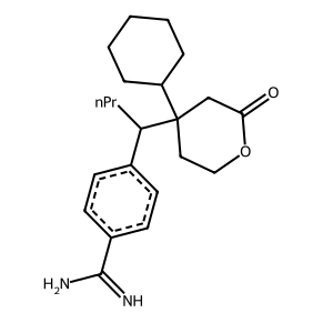 CCCC(c1ccc(C(=N)N)cc1)C1(C2CCCCC2)CCOC(=O)C1